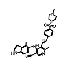 Cc1ncc(C#N)c(Nc2ccc3[nH]ccc3c2C)c1/C=C/c1ccc(S(=O)(=O)N2CCN(C)CC2)cc1